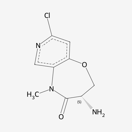 CN1C(=O)[C@@H](N)COc2cc(Cl)ncc21